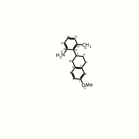 COc1ccc2c(c1)CCC(c1c(C)cccc1N)C2